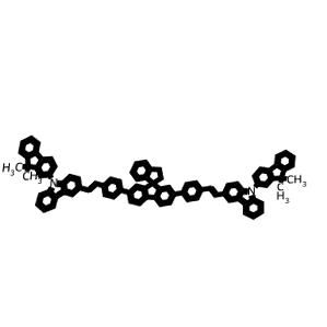 CC1(C)c2ccccc2-c2ccc(-n3c4ccccc4c4cc(/C=C/c5ccc(-c6ccc7c(c6)C6(CCc8ccccc86)c6cc(-c8ccc(/C=C/c9ccc%10c(c9)c9ccccc9n%10-c9ccc%10c(c9)C(C)(C)c9ccccc9-%10)cc8)ccc6-7)cc5)ccc43)cc21